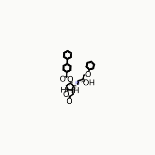 O=C1C[C@@H]2[C@@H](/C=C/[C@H](O)COc3ccccc3)[C@H](OC(=O)c3ccc(-c4ccccc4)cc3)C[C@@H]2O1